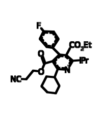 CCOC(=O)c1c(C(C)C)nc(C2CCCCC2)c(C(=O)OCCC#N)c1-c1ccc(F)cc1